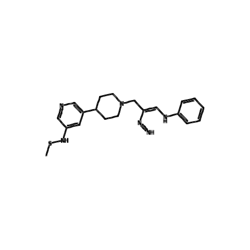 CSNc1cncc(C2CCN(C/C(=C/Nc3ccccc3)N=N)CC2)c1